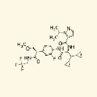 COC[C@H](C(=O)NCC(F)(F)F)c1ccc(NC(=O)[C@@H](NC(=O)c2ccnn2C(C)C)C(C2CC2)C2CC2)c(F)c1